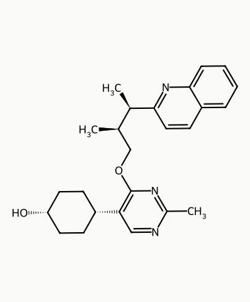 Cc1ncc([C@H]2CC[C@@H](O)CC2)c(OC[C@@H](C)[C@@H](C)c2ccc3ccccc3n2)n1